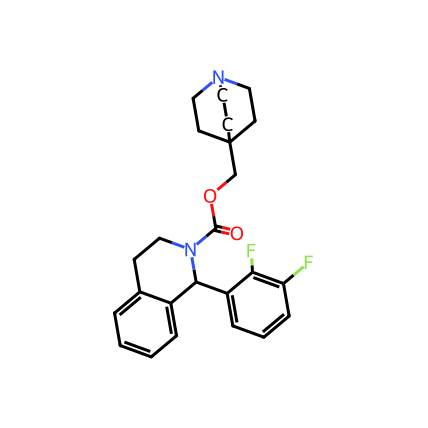 O=C(OCC12CCN(CC1)CC2)N1CCc2ccccc2C1c1cccc(F)c1F